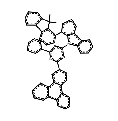 CC1(C)c2ccccc2-c2cccc(-c3cccc4c5ccccc5n(-c5nc(-c6ccccc6)nc(-c6ccc7c8ccccc8c8ccccc8c7c6)n5)c34)c21